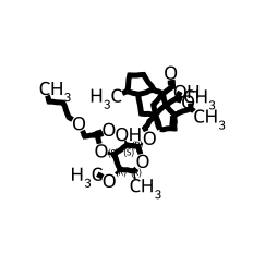 CCCCOCC(=O)O[C@H]1[C@H](O)[C@H](OCC23CC4C(C)CCC4C4(C=O)CC2C=C(C(C)C)C43C(=O)O)O[C@H](C)[C@H]1OC